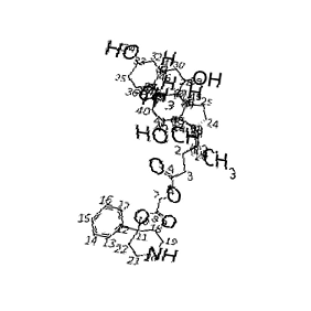 C[C@H](CCC(=O)OCC(=O)OC1(c2ccccc2)CCNCC1)[C@H]1CC[C@H]2[C@@H]3C(O)C[C@@H]4CC(O)CC[C@]4(C)[C@H]3CC(O)[C@]12C